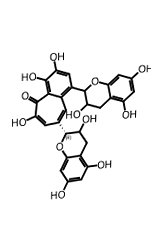 O=c1c(O)cc([C@H]2Oc3cc(O)cc(O)c3CC2O)cc2c(C3Oc4cc(O)cc(O)c4CC3O)cc(O)c(O)c12